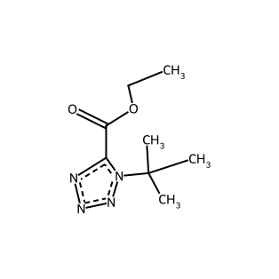 CCOC(=O)c1nnnn1C(C)(C)C